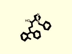 Cc1ccccc1C(CCC(O)c1cncn1Cc1ccccc1)c1ccccc1